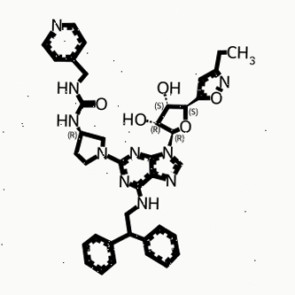 CCc1cc([C@H]2O[C@@H](n3cnc4c(NCC(c5ccccc5)c5ccccc5)nc(N5CC[C@@H](NC(=O)NCc6ccncc6)C5)nc43)[C@H](O)[C@@H]2O)on1